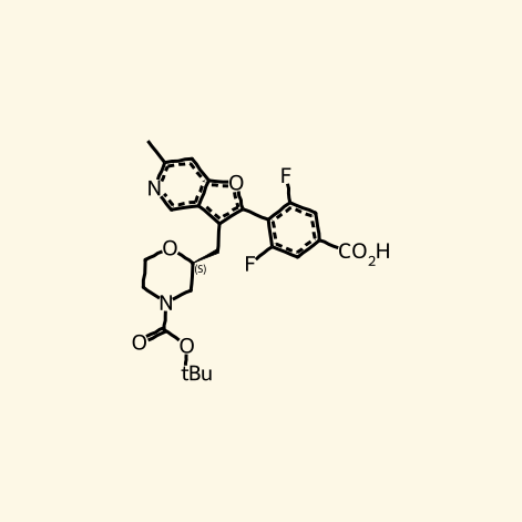 Cc1cc2oc(-c3c(F)cc(C(=O)O)cc3F)c(C[C@H]3CN(C(=O)OC(C)(C)C)CCO3)c2cn1